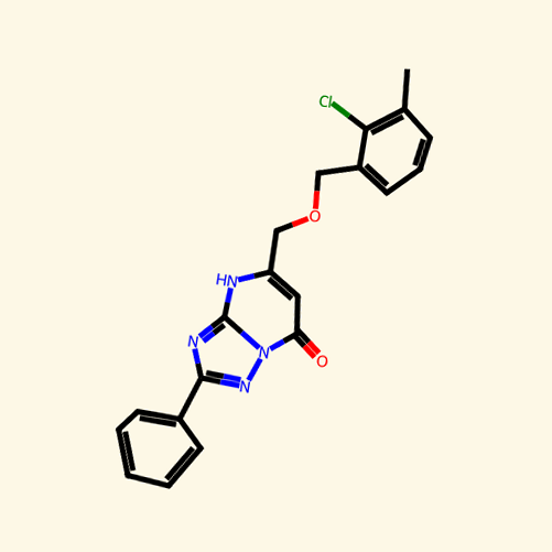 Cc1cccc(COCc2cc(=O)n3nc(-c4ccccc4)nc3[nH]2)c1Cl